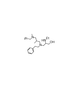 CCNC(CO)CN(CCc1ccccc1)CC(C)CN(C)CC(C)C